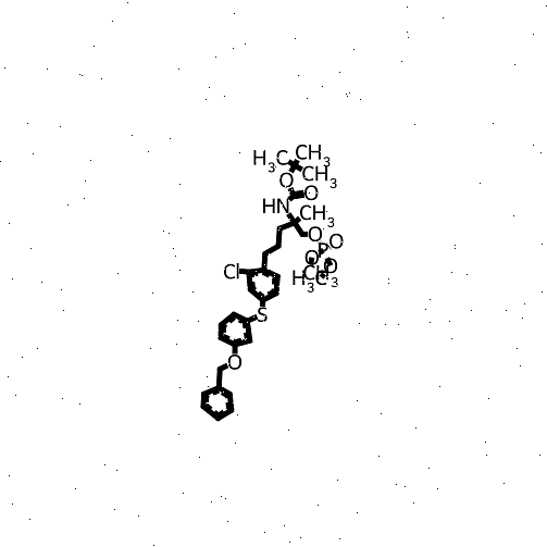 COP(=O)(OC)OCC(C)(CCCc1ccc(Sc2cccc(OCc3ccccc3)c2)cc1Cl)NC(=O)OC(C)(C)C